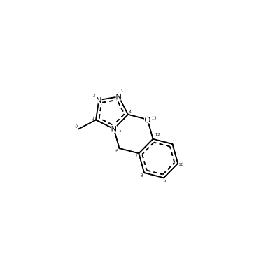 Cc1nnc2n1Cc1ccccc1O2